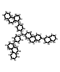 c1ccc2cc(-c3ccc4c(ccc5cc(N(c6ccc(-c7ccnc8c7ccc7ccccc78)cc6)c6ccc(-c7ccnc8c7ccc7ccccc78)cc6)ccc54)c3)ccc2c1